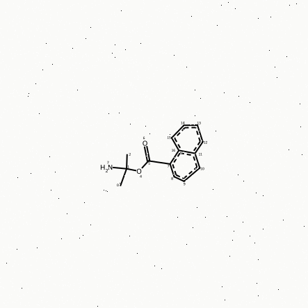 CC(C)(N)OC(=O)c1cccc2ccccc12